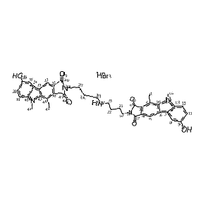 Br.Cc1c2c(cc3c4cc(O)ccc4n(C)c13)C(=O)N(CCCCNCCCN1C(=O)c3cc4c5cc(O)ccc5n(C)c4c(C)c3C1=O)C2=O